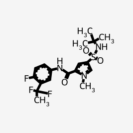 Cn1cc(S(=O)(=O)NC(C)(C)C)cc1C(=O)Nc1ccc(F)c(C(C)(F)F)c1